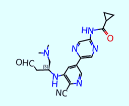 CN(C)C[C@H](CC=O)Nc1cc(-c2cnc(NC(=O)C3CC3)cn2)cnc1C#N